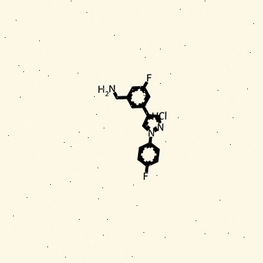 Cl.NCc1cc(F)cc(-c2cnn(-c3ccc(F)cc3)c2)c1